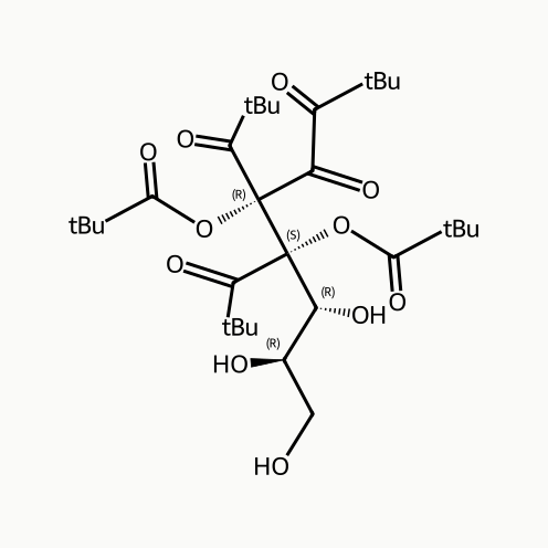 CC(C)(C)C(=O)O[C@@](C(=O)C(=O)C(C)(C)C)(C(=O)C(C)(C)C)[C@](OC(=O)C(C)(C)C)(C(=O)C(C)(C)C)[C@H](O)[C@H](O)CO